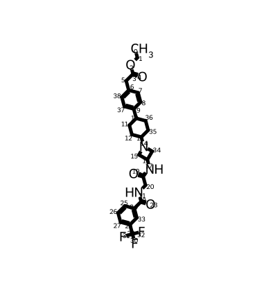 CCOC(=O)Cc1ccc(C2CCC(N3CC(NC(=O)CNC(=O)c4cccc(C(F)(F)F)c4)C3)CC2)cc1